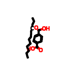 CCCCCCCCCCCC.O=C(O)c1ccc(C(=O)O)cc1